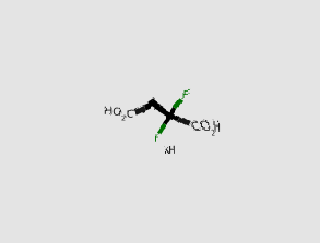 O=C(O)CC(F)(F)C(=O)O.[KH]